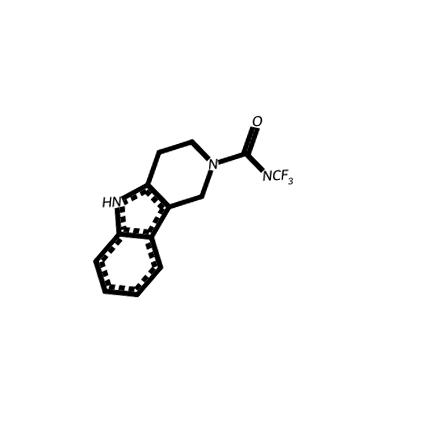 O=C(NC(F)(F)F)N1CCc2[nH]c3ccccc3c2C1